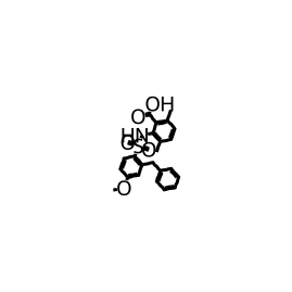 COc1ccc(S(=O)(=O)Nc2c(C)ccc(C)c2C(=O)O)c(Cc2ccccc2)c1